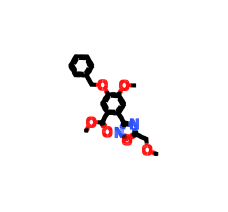 COCc1nc(-c2cc(OC)c(OCc3ccccc3)cc2C(=O)OC)no1